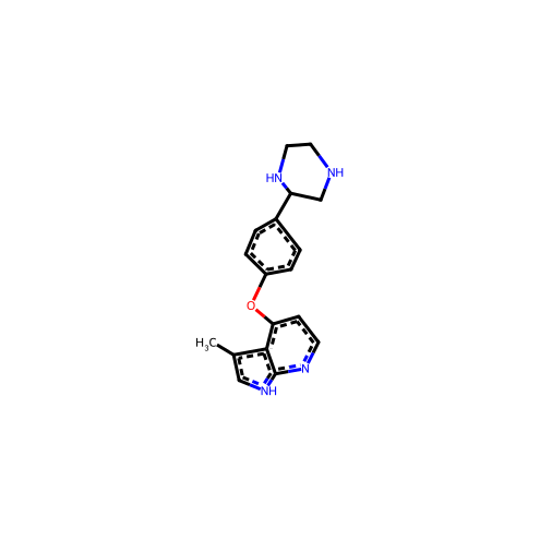 Cc1c[nH]c2nccc(Oc3ccc(C4CNCCN4)cc3)c12